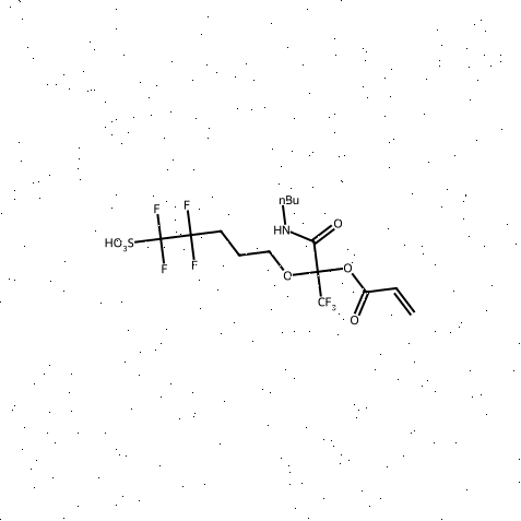 C=CC(=O)OC(OCCCC(F)(F)C(F)(F)S(=O)(=O)O)(C(=O)NCCCC)C(F)(F)F